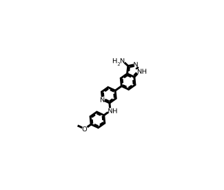 COc1ccc(Nc2cc(-c3ccc4[nH]nc(N)c4c3)ccn2)cc1